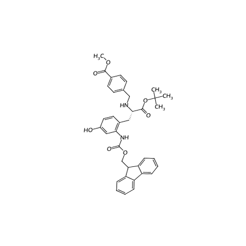 COC(=O)c1ccc(CN[C@@H](Cc2ccc(O)cc2NC(=O)OCC2c3ccccc3-c3ccccc32)C(=O)OC(C)(C)C)cc1